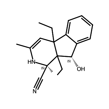 CCC12C=C(C)N[C@](C)(C#N)C1(CC)[C@@H](O)c1ccccc12